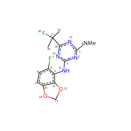 CNc1nc(Nc2c(F)ccc3c2OCO3)nc(C(C)(C)F)n1